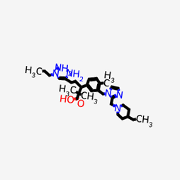 CCCN(N)/C=C(\N)CCC(c1ccc(C)c(Cn2ccnc2CN2CCC(CC)CC2)c1)C(C)(C)C(=O)O